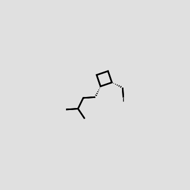 CC(C)CC[C@@H]1CC[C@@H]1CI